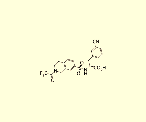 N#Cc1cccc(C[C@H](NS(=O)(=O)c2ccc3c(c2)CN(C(=O)C(F)(F)F)CC3)C(=O)O)c1